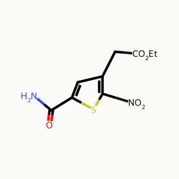 CCOC(=O)Cc1cc(C(N)=O)sc1[N+](=O)[O-]